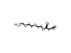 CCOCCOCCOC(=O)CC#N